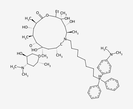 CCC1OC(=O)[C@H](C)[C@@H](O)[C@H](C)[C@@H](O[C@@H]2O[C@H](C)C[C@H](N(C)C)[C@H]2O)[C@](C)(O)C[C@@H](C)CN(CCCCCCCC[PH](c2ccccc2)(c2ccccc2)c2ccc(N(C)C)cc2)[C@H](C)[C@@H](O)[C@]1(C)O